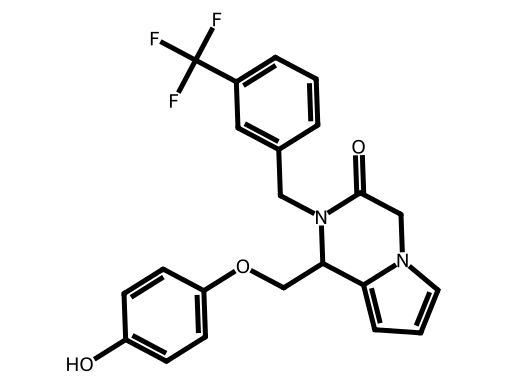 O=C1Cn2cccc2C(COc2ccc(O)cc2)N1Cc1cccc(C(F)(F)F)c1